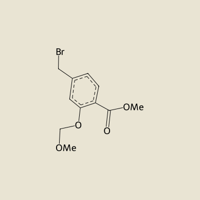 COCOc1cc(CBr)ccc1C(=O)OC